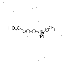 CCn1cc(-c2ccc(C(F)(F)F)cc2)nc1C=Cc1ccc(-c2ccc(OCCCC(=O)O)cc2)cc1